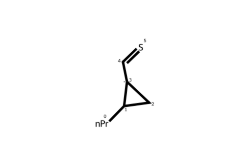 CCCC1C[C]1C=S